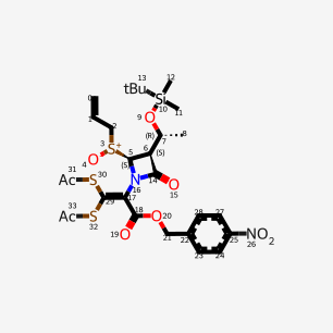 C=CC[S+]([O-])[C@H]1[C@@H]([C@@H](C)O[Si](C)(C)C(C)(C)C)C(=O)N1C(C(=O)OCc1ccc([N+](=O)[O-])cc1)=C(SC(C)=O)SC(C)=O